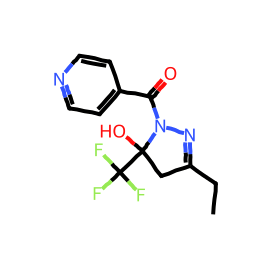 CCC1=NN(C(=O)c2ccncc2)C(O)(C(F)(F)F)C1